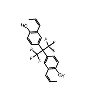 C/C=C\c1cc(C(c2ccc(O)c(/C=C\C)c2)(C(F)(F)F)C(F)(F)F)ccc1O